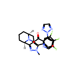 Cn1nc2c(c1-c1cc(F)c(F)c(F)c1)C[C@@H]1CCC[C@H]2N1CC(=O)c1ncccc1-n1nccn1